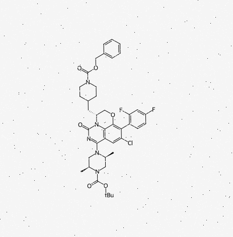 C[C@H]1CN(c2nc(=O)n3c4c(c(-c5ccc(F)cc5F)c(Cl)cc24)OC[C@H]3CC2CCN(C(=O)OCc3ccccc3)CC2)[C@@H](C)CN1C(=O)OC(C)(C)C